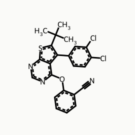 CC(C)(C)c1sc2ncnc(Oc3ccccc3C#N)c2c1-c1ccc(Cl)c(Cl)c1